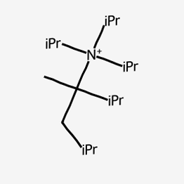 CC(C)CC(C)(C(C)C)[N+](C(C)C)(C(C)C)C(C)C